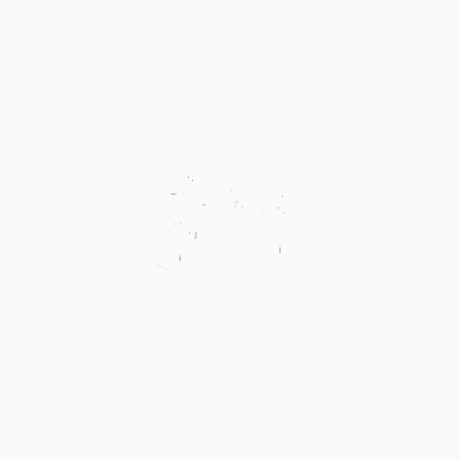 O=C(Nc1cnn(Cc2ccc(F)cc2)c1)c1c[nH]c(=O)c(-c2cc3ccccc3[nH]2)c1